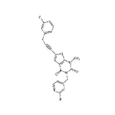 Cn1c(=O)n(Cc2cccc(F)c2)c(=O)c2cc(C#CCc3cccc(F)c3)sc21